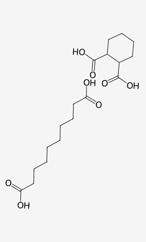 O=C(O)C1CCCCC1C(=O)O.O=C(O)CCCCCCCCC(=O)O